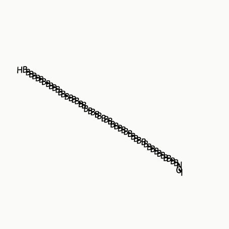 B=BB=BB=BB=BB=BB=BB=BB=BB=BB=BB=BB=BB=BB=BB=BB=BB=BB=BB=BB=BB=BB=BB=BB=NOI